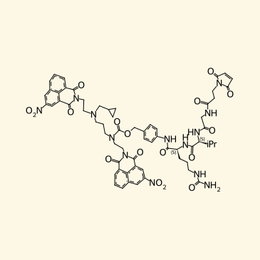 CC(C)[C@H](NC(=O)CNC(=O)CCN1C(=O)C=CC1=O)C(=O)N[C@@H](CCCNC(N)=O)C(=O)Nc1ccc(COC(=O)N(CCCN(CCN2C(=O)c3cccc4cc([N+](=O)[O-])cc(c34)C2=O)CC2CC2)CCN2C(=O)c3cccc4cc([N+](=O)[O-])cc(c34)C2=O)cc1